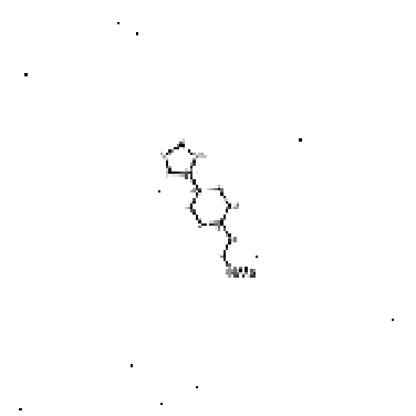 CNCCC1CCC(N2CCCC2)CC1